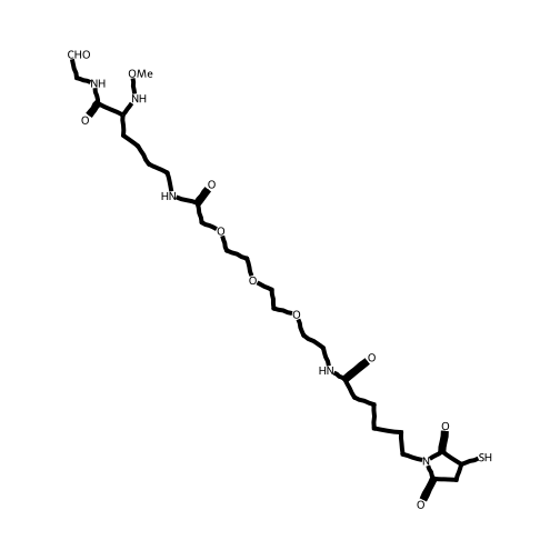 CONC(CCCCNC(=O)COCCOCCOCCNC(=O)CCCCCN1C(=O)CC(S)C1=O)C(=O)NCC=O